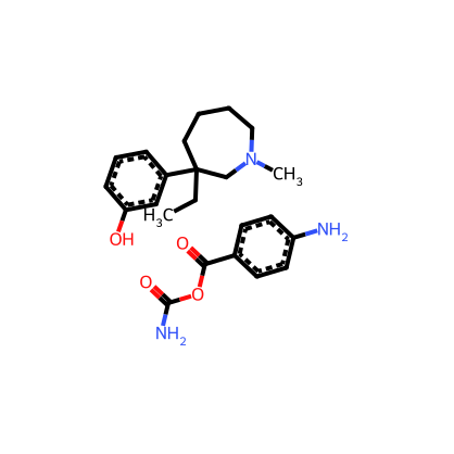 CCC1(c2cccc(O)c2)CCCCN(C)C1.NC(=O)OC(=O)c1ccc(N)cc1